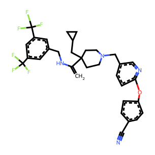 C=C(NCc1cc(C(F)(F)F)cc(C(F)(F)F)c1)C1(CC2CC2)CCN(Cc2ccc(Oc3ccc(C#N)cc3)nc2)CC1